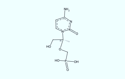 C[C@@](CO)(OCP(=O)(O)O)n1ccc(N)nc1=O